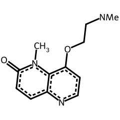 CNCCOc1ccnc2ccc(=O)n(C)c12